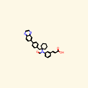 O=CN(c1cccc(/C=C/C(=O)O)c1)C1(Cc2ccc(-c3ccc4nccnc4c3)cc2)CCCCC1